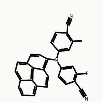 Cc1cc(N(c2ccc(C#N)c(F)c2)c2ccc3ccc4cccc5ccc2c3c45)ccc1C#N